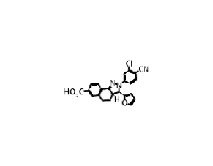 N#Cc1ccc(N2N=C3c4ccc(C(=O)O)cc4CC[C@@H]3[C@@H]2c2ccco2)cc1Cl